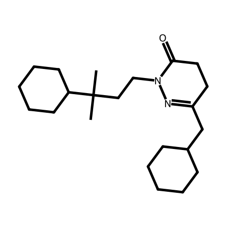 CC(C)(CCN1N=C(CC2CCCCC2)CCC1=O)C1CCCCC1